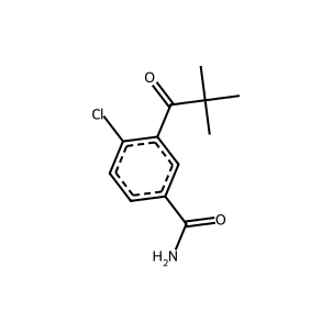 CC(C)(C)C(=O)c1cc(C(N)=O)ccc1Cl